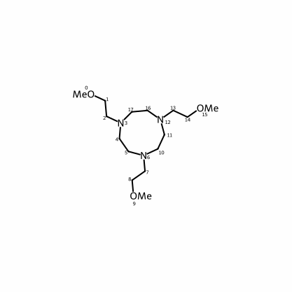 COCCN1CCN(CCOC)CCN(CCOC)CC1